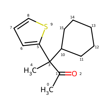 CC(=O)C(C)(c1cccs1)C1CCCCC1